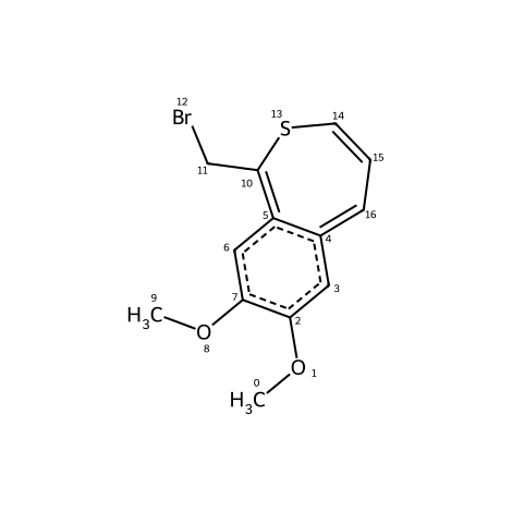 COc1cc2c(cc1OC)=C(CBr)SC=CC=2